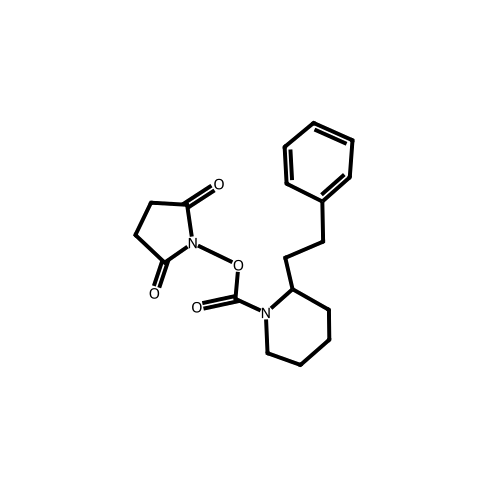 O=C1CCC(=O)N1OC(=O)N1CCCCC1CCc1ccccc1